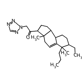 CCCC1(C)C2=CCC3(C)C(C(=O)Cn4ncnn4)CCC3C2CCC1CC